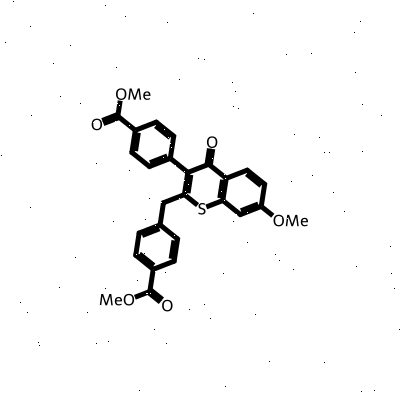 COC(=O)c1ccc(Cc2sc3cc(OC)ccc3c(=O)c2-c2ccc(C(=O)OC)cc2)cc1